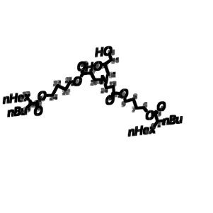 CCCCCCC(CCCC)C(=O)OCCCCOC(=O)CCN(CCC(=O)OCCCCOC(=O)C(CCCC)CCCCCC)CC(O)CO